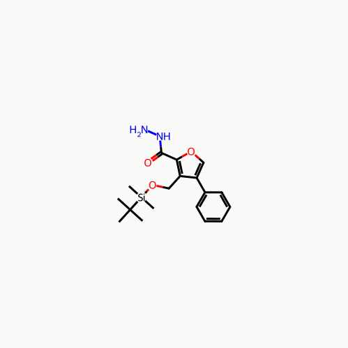 CC(C)(C)[Si](C)(C)OCc1c(-c2ccccc2)coc1C(=O)NN